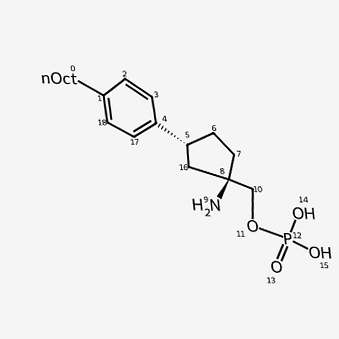 CCCCCCCCc1ccc([C@@H]2CC[C@](N)(COP(=O)(O)O)C2)cc1